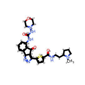 CN1CCCC1CCNC(=O)c1ccc(C2=C3C(=O)c4c(NC(=O)NN5CCOCC5)cccc4C3N=N2)s1